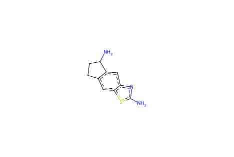 Nc1nc2cc3c(cc2s1)CCC3N